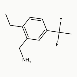 CCc1ccc(C(C)(F)F)cc1CN